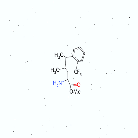 COC(=O)C(N)CC(C)C(C)c1ccccc1C(F)(F)F